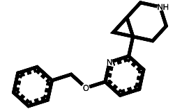 c1ccc(COc2cccc(C34CCNCC3C4)n2)cc1